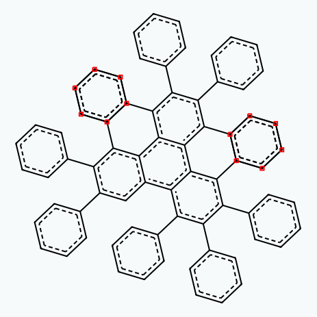 c1ccc(-c2cc3c(c(-c4ccccc4)c2-c2ccccc2)c2c(-c4ccccc4)c(-c4ccccc4)c(-c4ccccc4)c(-c4ccccc4)c2c2c(-c4ccccc4)c(-c4ccccc4)c(-c4ccccc4)c(-c4ccccc4)c32)cc1